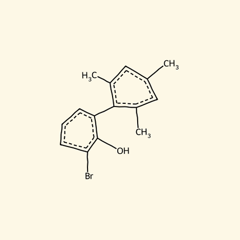 Cc1cc(C)c(-c2cccc(Br)c2O)c(C)c1